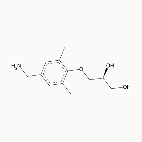 Cc1cc(CN)cc(C)c1OC[C@@H](O)CO